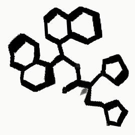 O=C(OC(c1cccc2ccccc12)c1cccc2ccccc12)[C@H](Cc1cccs1)n1cccc1